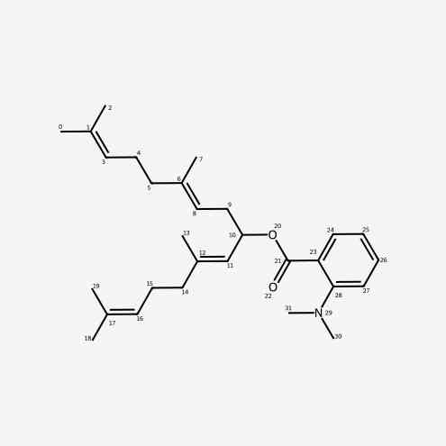 CC(C)=CCC/C(C)=C/CC(/C=C(\C)CCC=C(C)C)OC(=O)c1ccccc1N(C)C